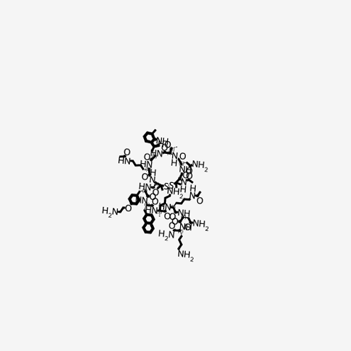 CC(=O)NCCCC[C@@H]1NC(=O)[C@H](Cc2c[nH]c3c(C)cccc23)NC(=O)[C@H]([C@@H](C)O)NC(=O)[C@H](CC(N)=O)NC(=O)[C@@H](NC(C)=O)C(C)(C)SSC(C)(C)[C@@H](C(=O)N[C@@H](Cc2ccc(OCCN)cc2)C(=O)N[C@@H](Cc2ccc3ccccc3c2)C(=O)N[C@@](C)(CCCCN)C(=O)N[C@@H](CCCCNC(C)=O)C(=O)N[C@@H](CC(N)=O)C(=O)N[C@H](CCCCN)C(N)=O)NC1=O